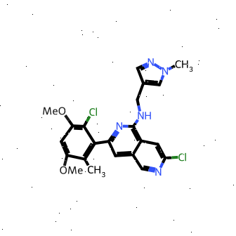 COc1cc(OC)c(Cl)c(-c2cc3cnc(Cl)cc3c(NCc3cnn(C)c3)n2)c1C